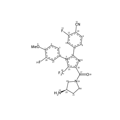 COc1ccc(-n2c(-c3ccc(C#N)c(F)c3)nc(C(=O)N3CC[C@@H](N)C3)c2C(F)(F)F)cc1F